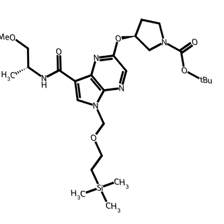 COC[C@@H](C)NC(=O)c1cn(COCC[Si](C)(C)C)c2ncc(O[C@H]3CCN(C(=O)OC(C)(C)C)C3)nc12